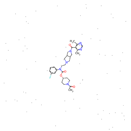 CC(=O)N1CCC(OC(=O)N(CCN2CC3CN(C(=O)c4c(C)ncnc4C)CC3C2)c2cccc(F)c2)CC1